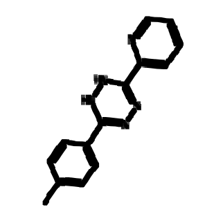 Cc1ccc(C2=NN=C(c3ccccn3)NN2)cc1